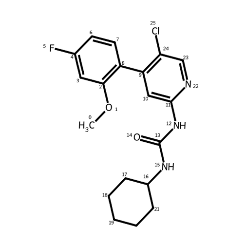 COc1cc(F)ccc1-c1cc(NC(=O)NC2CCCCC2)ncc1Cl